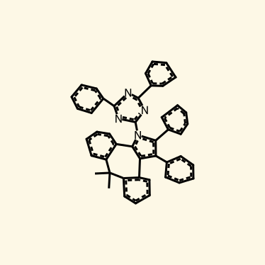 CC1(C)c2ccccc2-c2c(-c3ccccc3)c(-c3ccccc3)n(-c3nc(-c4ccccc4)nc(-c4ccccc4)n3)c2-c2ccccc21